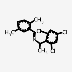 Cc1ccc(C)c(C=NC(C)c2c(Cl)cc(Cl)cc2Cl)c1